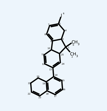 CC1(C)C2CC(I)=CC=C2C2C=CC(c3cccc4c3CCC=C4)=CC21